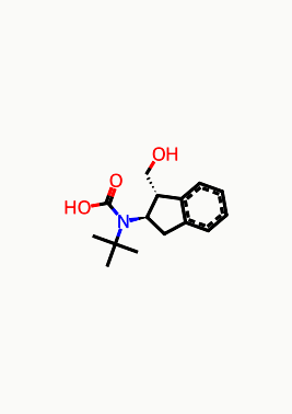 CC(C)(C)N(C(=O)O)[C@@H]1Cc2ccccc2[C@H]1CO